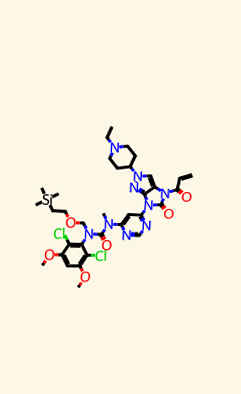 C=CC(=O)n1c(=O)n(-c2cc(N(C)C(=O)N(COCC[Si](C)(C)C)c3c(Cl)c(OC)cc(OC)c3Cl)ncn2)c2nn(C3CCN(CC)CC3)cc21